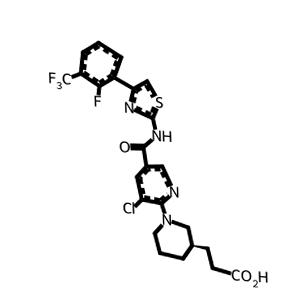 O=C(O)CC[C@H]1CCCN(c2ncc(C(=O)Nc3nc(-c4cccc(C(F)(F)F)c4F)cs3)cc2Cl)C1